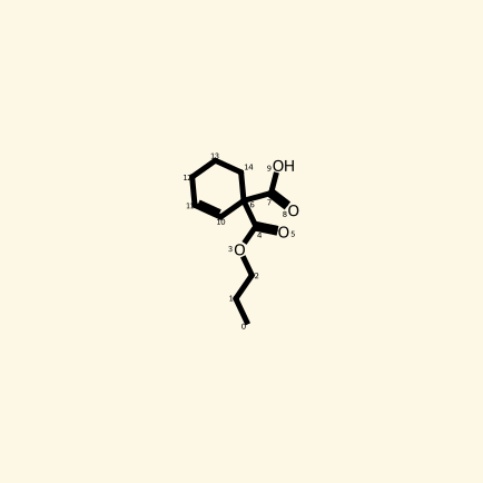 CCCOC(=O)C1(C(=O)O)C=CCCC1